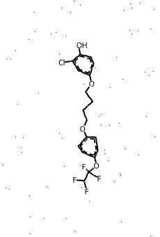 Oc1ccc(OCCCCOc2ccc(OC(F)(F)C(F)F)cc2)cc1Cl